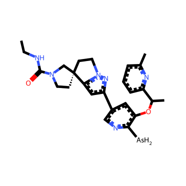 CCNC(=O)N1CC[C@@]2(CCn3nc(-c4cnc([AsH2])c(OC(C)c5cccc(C)n5)c4)cc32)C1